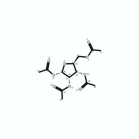 CC(=O)OC[C@@H]1O[C@@H](OC(C)=O)[C@@H](OC(C)=O)[C@H]1OC(C)=O